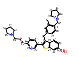 Cc1cc(Cc2c(-c3ccc(OCCN4CCCC4)nc3)sc3cc(O)ccc23)ccc1CN1CCCC1